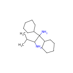 CC(C)C(N)C(N)(C1CCCCC1)C1CCCCC1